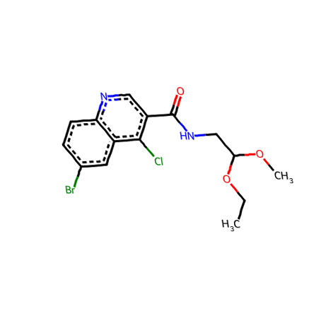 CCOC(CNC(=O)c1cnc2ccc(Br)cc2c1Cl)OC